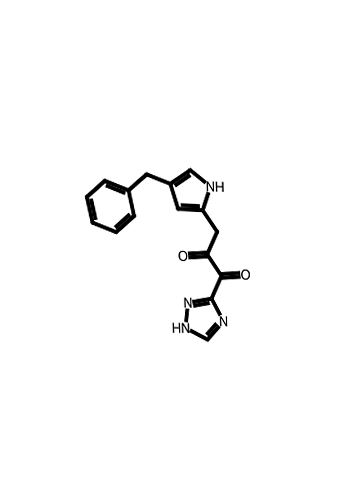 O=C(Cc1cc(Cc2ccccc2)c[nH]1)C(=O)c1nc[nH]n1